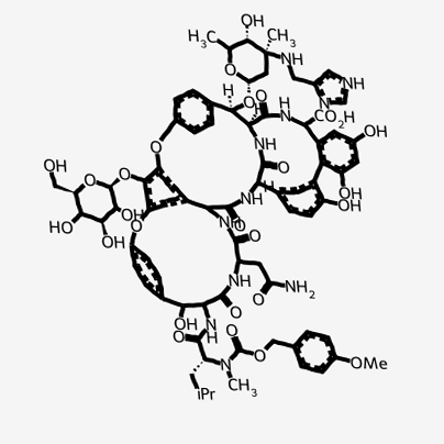 COc1ccc(COC(=O)N(C)[C@H](CC(C)C)C(=O)NC2C(=O)NC(CC(N)=O)C(=O)NC3C(=O)N[C@H]4C(=O)N[C@H](C(=O)NC(C(=O)O)c5cc(O)cc(O)c5-c5cc4ccc5O)[C@H](O[C@H]4C[C@](C)(NCc5c[nH]cn5)[C@@H](O)C(C)O4)c4ccc(cc4)Oc4cc3cc(c4O[C@@H]3O[C@H](CO)C(O)[C@H](O)C3O)Oc3ccc(cc3)C2O)cc1